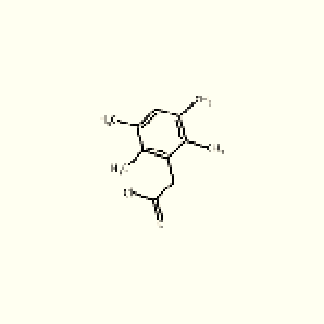 Cc1cc(C)c(C)c(CC(=O)Cl)c1C